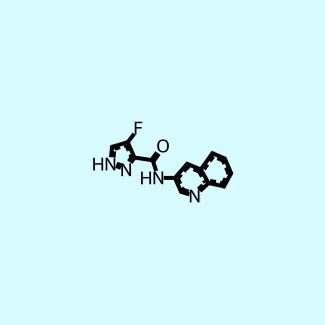 O=C(Nc1cnc2ccccc2c1)c1n[nH]cc1F